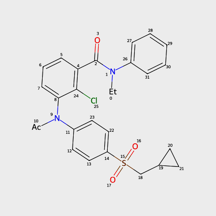 CCN(C(=O)c1cccc(N(C(C)=O)c2ccc(S(=O)(=O)CC3CC3)cc2)c1Cl)c1ccccc1